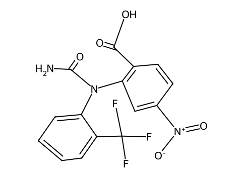 NC(=O)N(c1cc([N+](=O)[O-])ccc1C(=O)O)c1ccccc1C(F)(F)F